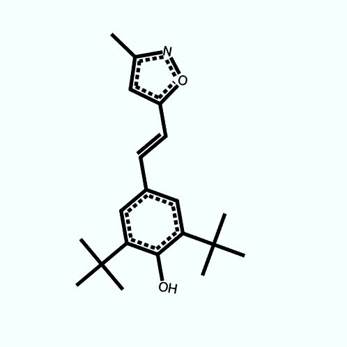 Cc1cc(/C=C/c2cc(C(C)(C)C)c(O)c(C(C)(C)C)c2)on1